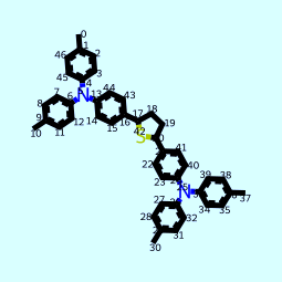 Cc1ccc(N(c2ccc(C)cc2)c2ccc(C3CCC(c4ccc(N(c5ccc(C)cc5)c5ccc(C)cc5)cc4)S3)cc2)cc1